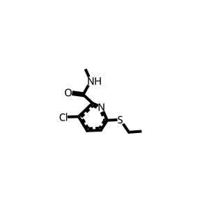 CCSc1ccc(Cl)c(C(=O)NC)n1